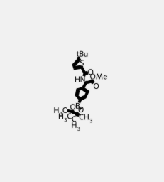 COC(=O)C(NC(=O)c1ccc(C(C)(C)C)s1)c1ccc(B2OC(C)(C)C(C)(C)O2)cc1